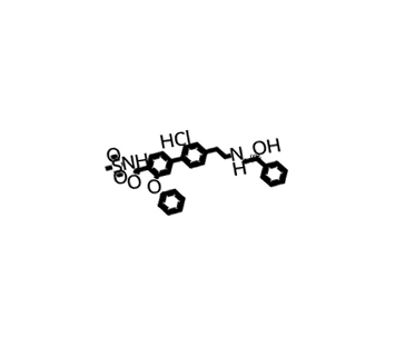 CS(=O)(=O)NC(=O)c1ccc(-c2ccc(CCNC[C@@H](O)c3ccccc3)cc2)cc1Oc1ccccc1.Cl